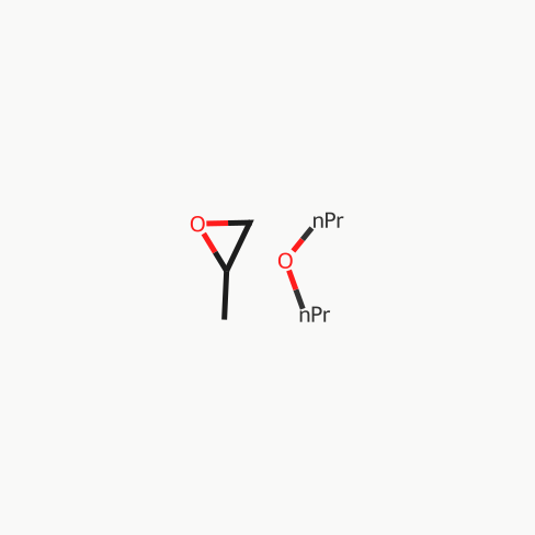 CC1CO1.CCCOCCC